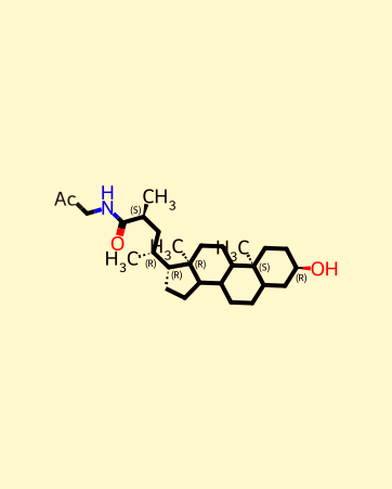 CC(=O)CNC(=O)[C@@H](C)C[C@@H](C)[C@H]1CCC2C3CCC4C[C@H](O)CC[C@]4(C)C3CC[C@@]21C